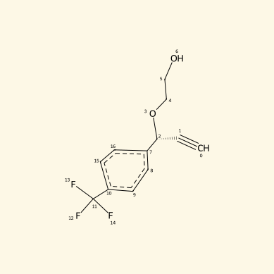 C#C[C@@H](OCCO)c1ccc(C(F)(F)F)cc1